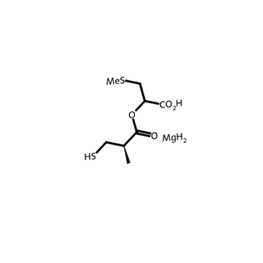 CSCC(OC(=O)[C@@H](C)CS)C(=O)O.[MgH2]